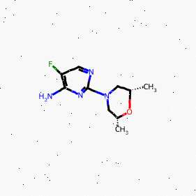 C[C@@H]1CN(c2ncc(F)c(N)n2)C[C@H](C)O1